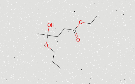 CCCOC(C)(O)CCC(=O)OCC